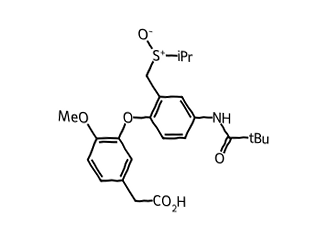 COc1ccc(CC(=O)O)cc1Oc1ccc(NC(=O)C(C)(C)C)cc1C[S+]([O-])C(C)C